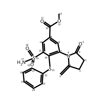 C=C1CCC(=O)N1c1cc(C(=O)OC)cc(S(N)(=O)=O)c1Sc1ccccc1